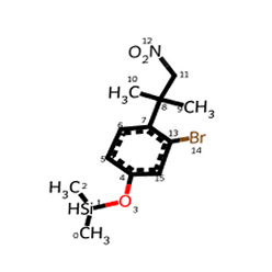 C[SiH](C)Oc1ccc(C(C)(C)C[N+](=O)[O-])c(Br)c1